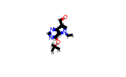 CCn1cc(C=O)c2ncnc(OC(C)(C)C)c21